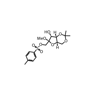 CO[C@]1(COS(=O)(=O)c2ccc(C)cc2)O[C@H]2COC(C)(C)O[C@H]2[C@@H]1O